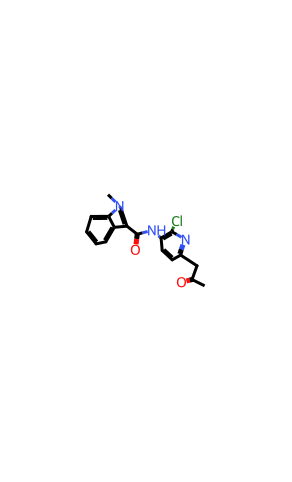 CC(=O)Cc1ccc(NC(=O)c2cn(C)c3ccccc23)c(Cl)n1